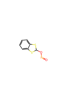 O=POC1Sc2ccccc2S1